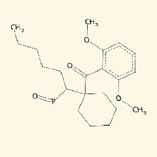 CCCCCC(P=O)C1(C(=O)c2c(OC)cccc2OC)CCCCC1